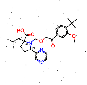 COc1cc(C(=O)COCN2[C@@H](c3cnccn3)CC[C@]2(CC(C)C)C(=O)O)ccc1C(C)(C)C